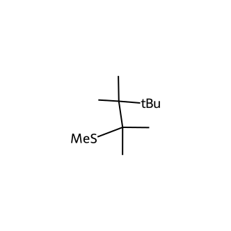 CSC(C)(C)C(C)(C)C(C)(C)C